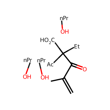 C=C(C)C(=O)C(CC)(C(C)=O)C(=O)O.CCCO.CCCO.CCCO